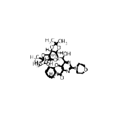 COc1ccccc1Oc1c(C(N)=O)nc(N2CCOCC2)nc1C(O)[C@H]1O[C@@H]2OC(C)(C)O[C@@H]2[C@H]2OC(C)(C)O[C@H]21